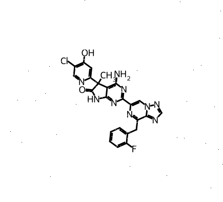 CC1(c2cc(O)c(Cl)cn2)C(=O)Nc2nc(-c3cn4ncnc4c(Cc4ccccc4F)n3)nc(N)c21